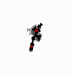 COC(=O)N[C@H](C(=O)N[C@@H](Cc1ccc(C#Cc2ccc(N3CC4COCC(C3)N4C)nc2)cc1)[C@@H](O)CN(Cc1c(F)cc(-c2ccn(C3CC3)n2)cc1F)NC(=O)[C@@H](NC(=O)O)C(C)(C)C(F)(F)F)C(C)(C)C(F)(F)F